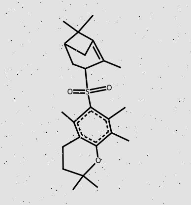 CC1=C2CC(CC1S(=O)(=O)c1c(C)c(C)c3c(c1C)CCC(C)(C)O3)C2(C)C